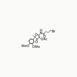 COc1ccc(C2(C)OC(NC(=O)CCCBr)=C(OC(C)=O)C2=O)cc1OC